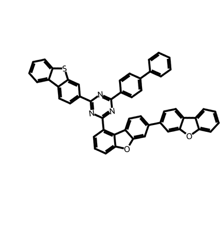 c1ccc(-c2ccc(-c3nc(-c4ccc5c(c4)sc4ccccc45)nc(-c4cccc5oc6cc(-c7ccc8c(c7)oc7ccccc78)ccc6c45)n3)cc2)cc1